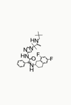 C=C(NCC(C)(C)C)C(C)(C)n1cnc(NC(=O)[C@@H](NC2CCc3cc(F)cc(F)c3C2)c2ccccc2)c1